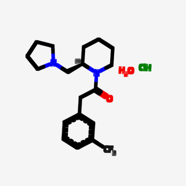 Cl.O.O=C(Cc1cccc(C(F)(F)F)c1)N1CCCC[C@@H]1CN1CCCC1